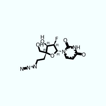 [N-]=[N+]=NCC[C@]1(CO)O[C@@H](n2ccc(=O)[nH]c2=O)[C@H](F)[C@@H]1O